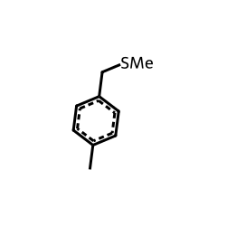 [CH2]SCc1ccc(C)cc1